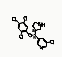 Clc1cncc([C@H](Oc2cc(Cl)c(Cl)cc2Cl)[C@H]2CCNC2)c1